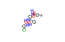 CC(C)(C)c1ccc(S(=O)(=O)Nc2ccc3[nH]c(OC(=O)Nc4cccc(Cl)c4)c(-c4ccccc4)c3c2)cc1